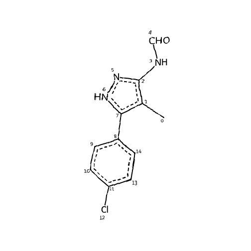 Cc1c(NC=O)n[nH]c1-c1ccc(Cl)cc1